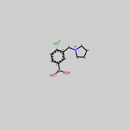 Cl.OB(O)c1cccc(CN2CCCC2)c1